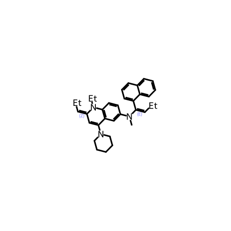 CC/C=C1/C=C(N2CCCCC2)c2cc(N(C)/C(=C/CC)c3cccc4ccccc34)ccc2N1CC